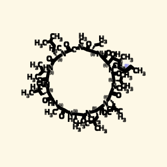 C/C=C/C[C@@H](C)[C@@H](O)[C@H]1C(=O)N[C@@H](CC)C(=O)N(C)CC(=O)N(C)[C@@H](CCC(C)C)C(=O)N[C@@H](C(C)C)C(=O)N(C)[C@@H](CC(C)C)C(=O)N[C@@H](C)C(=O)N[C@H](C)C(=O)N(C)[C@@H](CC(C)C)C(=O)N(C)[C@@H](CC(C)C)C(=O)N(C)[C@@H](C(C)C)C(=O)N1C